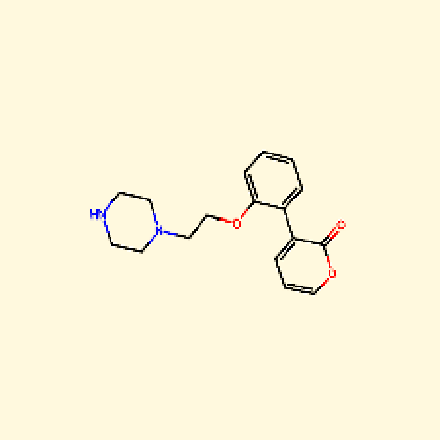 O=c1occcc1-c1ccccc1OCCN1CCNCC1